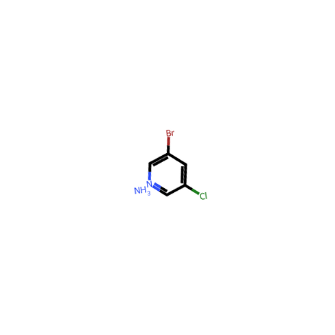 Clc1cncc(Br)c1.N